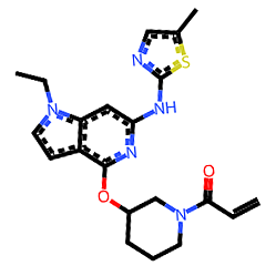 C=CC(=O)N1CCCC(Oc2nc(Nc3ncc(C)s3)cc3c2ccn3CC)C1